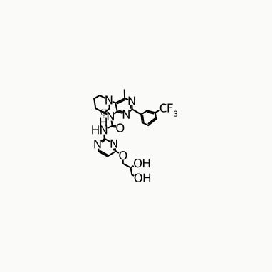 Cc1nc(-c2cccc(C(F)(F)F)c2)nc2c1N1CCC[C@@H](C1)N2C(=O)Nc1nccc(OCC(O)CO)n1